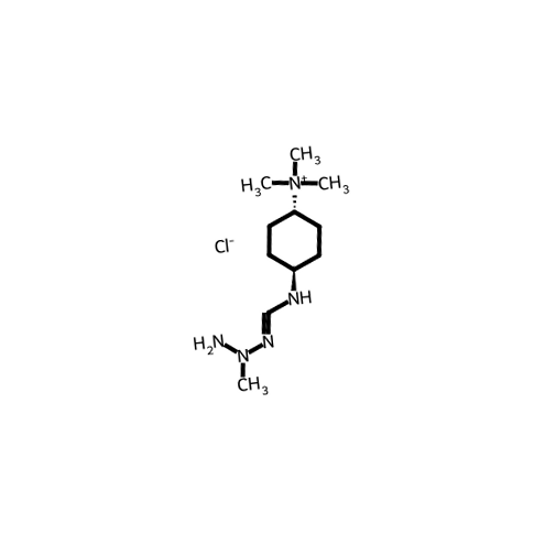 CN(N)N=CN[C@H]1CC[C@H]([N+](C)(C)C)CC1.[Cl-]